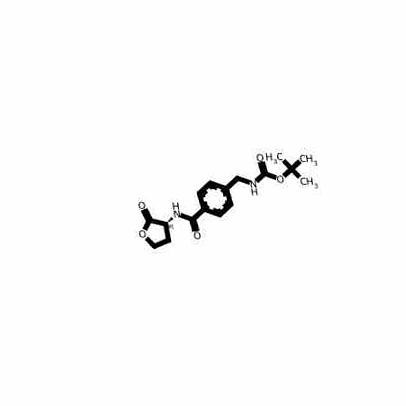 CC(C)(C)OC(=O)NCc1ccc(C(=O)N[C@@H]2CCOC2=O)cc1